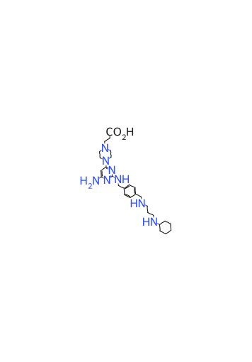 Nc1cc(N2CCN(CCC(=O)O)CC2)nc(NCc2ccc(CNCCCNC3CCCCC3)cc2)n1